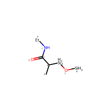 CCNC(=O)C(C)[SiH2]O[SiH3]